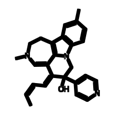 C/C=C\C=C1/C2=CN(C)CCc3c2n(c2ccc(C)cc32)CC1(O)c1ccncc1